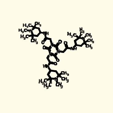 CN1C(C)(C)CC(NC(=O)Cn2c(=O)n(CC(=O)NC3CC(C)(C)N(C)C(C)(C)C3)c(=O)n(CC(=O)NC3CC(C)(C)N(C)C(C)(C)C3)c2=O)CC1(C)C